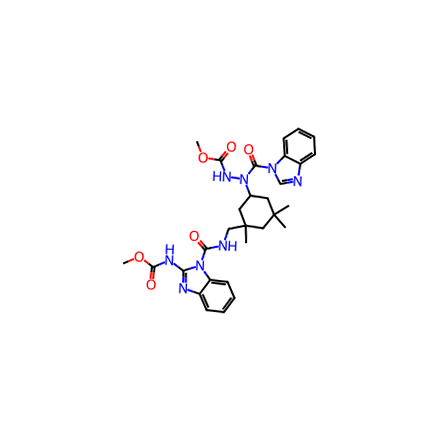 COC(=O)Nc1nc2ccccc2n1C(=O)NCC1(C)CC(N(NC(=O)OC)C(=O)n2cnc3ccccc32)CC(C)(C)C1